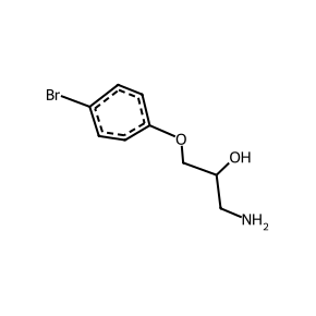 NCC(O)COc1ccc(Br)cc1